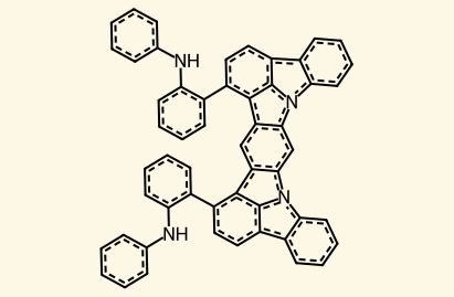 c1ccc(Nc2ccccc2-c2ccc3c4ccccc4n4c5cc6c(cc5c2c34)c2c(-c3ccccc3Nc3ccccc3)ccc3c4ccccc4n6c32)cc1